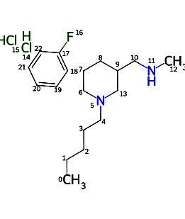 CCCCCN1CCCC(CNC)C1.Cl.Cl.Fc1ccccc1